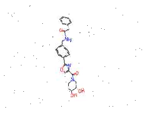 O=C(Cc1ccccc1)NCc1ccc(-c2nc(C(=O)N3CC[C@H](O)[C@@H](O)C3)co2)cc1